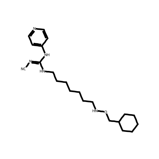 N#C/N=C(\NCCCCCCCNOCC1CCCCC1)Nc1ccncc1